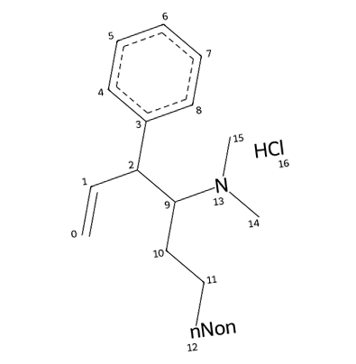 C=CC(c1ccccc1)C(CCCCCCCCCCC)N(C)C.Cl